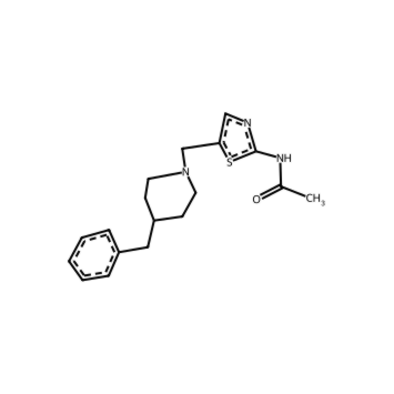 CC(=O)Nc1ncc(CN2CCC(Cc3ccccc3)CC2)s1